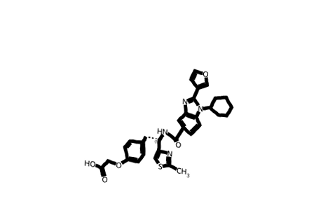 Cc1nc([C@H](Cc2ccc(OCC(=O)O)cc2)NC(=O)c2ccc3c(c2)nc(-c2ccoc2)n3C2CCCCC2)cs1